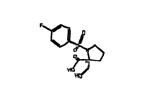 O=C(O)[C@]1(CO)CCCN1S(=O)(=O)c1ccc(F)cc1